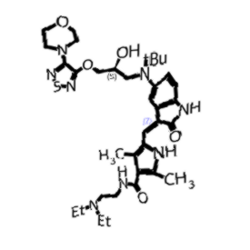 CCN(CC)CCNC(=O)c1c(C)[nH]c(/C=C2\C(=O)Nc3ccc(N(C[C@H](O)COc4nsnc4N4CCOCC4)C(C)(C)C)cc32)c1C